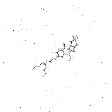 CCCCN(CCCC)CCCOc1ccc(C(=O)c2c(CCC)oc3ccc(N)cc23)cc1